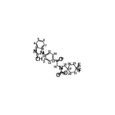 Cc1nc2ccccc2n1-c1ccc(C(=O)CN2CC3(CCC(F)(F)CC3)OC2=O)cc1